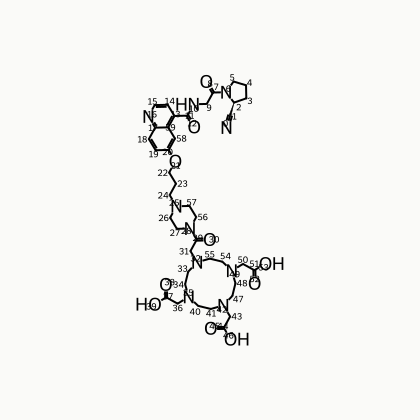 N#C[C@@H]1CCCN1C(=O)CNC(=O)c1ccnc2ccc(OCCCN3CCN(C(=O)CN4CCN(CC(=O)O)CCN(CC(=O)O)CCN(CC(=O)O)CC4)CC3)cc12